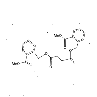 COC(=O)c1ccccc1COC(=O)CCC(=O)OCc1ccccc1C(=O)OC